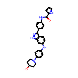 O=C(Nc1ccc(-c2n[nH]c3cc(Nc4ccc(N5CCC(O)CC5)cc4)ccc23)cc1)c1ccc[nH]1